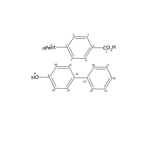 CCCCCc1ccc(C(=O)O)cc1.Oc1ccc(-c2ccccc2)cc1